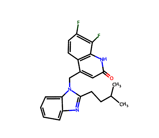 CC(C)CCc1nc2ccccc2n1Cc1cc(=O)[nH]c2c(F)c(F)ccc12